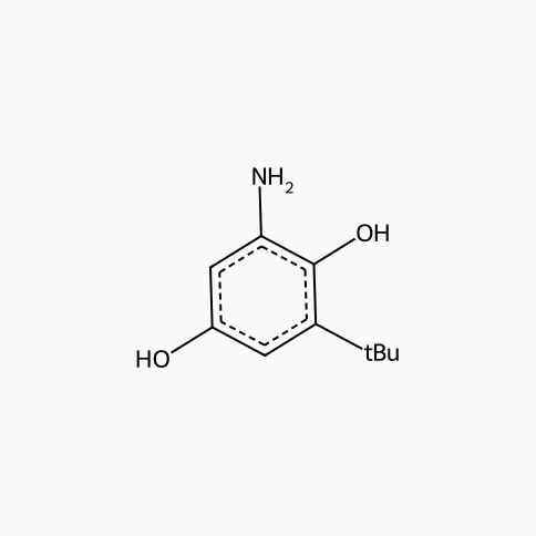 CC(C)(C)c1cc(O)cc(N)c1O